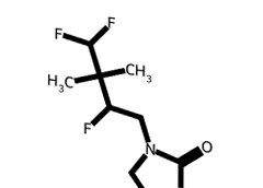 CC(C)(C(F)F)C(F)CN1CCNC1=O